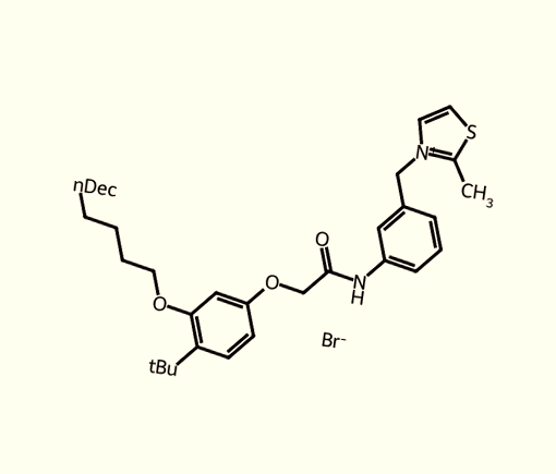 CCCCCCCCCCCCCCOc1cc(OCC(=O)Nc2cccc(C[n+]3ccsc3C)c2)ccc1C(C)(C)C.[Br-]